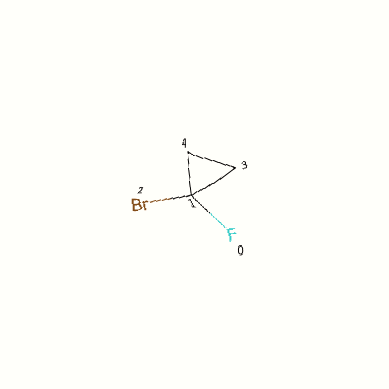 FC1(Br)CC1